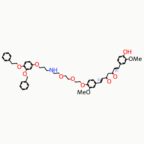 COc1cc(/C=C/C(=O)CC(=O)/C=C/c2ccc(OCCOCCOCCNCCCOc3ccc(OCCc4ccccc4)c(OCc4ccccc4)c3)c(OC)c2)ccc1O